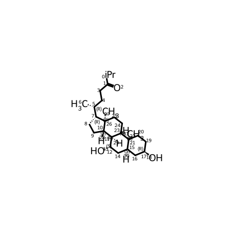 CC(C)C(=O)CC[C@@H](C)[C@H]1CC[C@H]2[C@@H]3[C@@H](O)C[C@@H]4C[C@H](O)CC[C@]4(C)[C@H]3CC[C@]12C